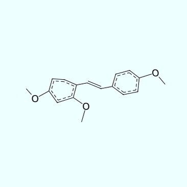 COc1ccc(/C=C/c2ccc(OC)cc2OC)cc1